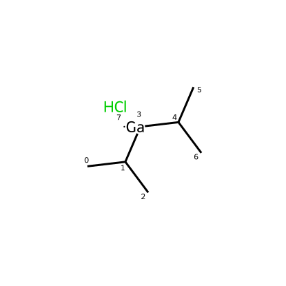 C[CH](C)[Ga][CH](C)C.Cl